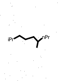 [CH2]C(C)CCCC(C)CCC